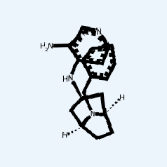 Nc1cnccc1N[C@H]1C[C@H]2CC[C@@H](C1)N2Cc1ccccc1